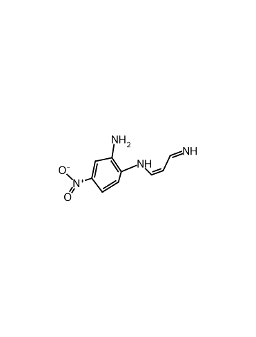 N=C/C=C\Nc1ccc([N+](=O)[O-])cc1N